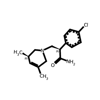 CC1=C[C@@H](C)CN(C[C@H](C(N)=O)c2ccc(Cl)cc2)C1